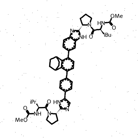 CCC(C)[C@H](NC(=O)OC)C(=O)N1CCC[C@H]1c1nc2ccc(-c3ccc(-c4ccc(-c5cnc([C@@H]6CCCN6C(=O)[C@@H](NC(=O)OC)C(C)C)[nH]5)cc4)c4c3C3CCC4CC3)cc2[nH]1